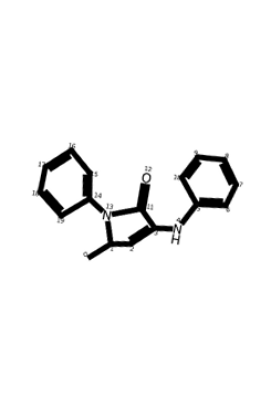 CC1C=C(Nc2ccccc2)C(=O)N1c1ccccc1